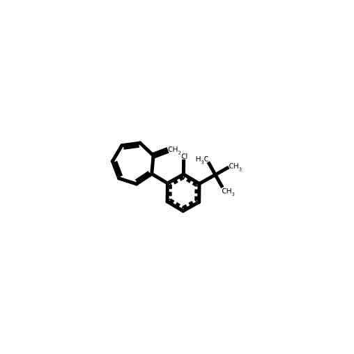 C=C1C=CC=CC=C1c1cccc(C(C)(C)C)c1Cl